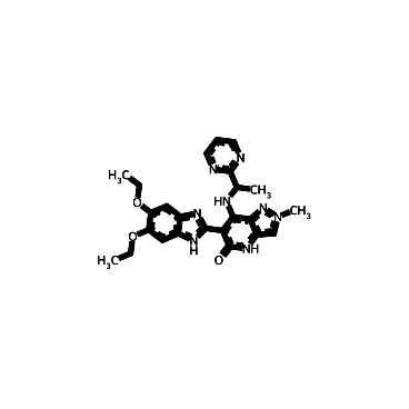 CCOc1cc2nc(-c3c(NC(C)c4ncccn4)c4nn(C)cc4[nH]c3=O)[nH]c2cc1OCC